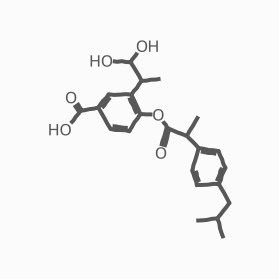 CC(C)Cc1ccc(C(C)C(=O)Oc2ccc(C(=O)O)cc2C(C)C(O)O)cc1